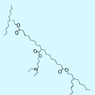 CCCCCC(CCCCC)CCOC(=O)CCCCCCCC(CCCCCCCC(=O)OCCC(CCCCC)CCCCC)C(=O)OCCCCN(CC)CC